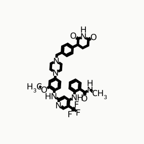 CNC(=O)c1ccccc1Nc1cc(Nc2ccc(N3CCN(Cc4ccc(C5CCC(=O)NC5=O)cc4)CC3)cc2OC)ncc1C(F)(F)F